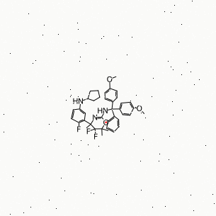 COc1ccc(C(NC2=NC(C)(c3cc(NC4CCCC4)ccc3F)C(F)(F)C(C)(C)O2)(c2ccccc2)c2ccc(OC)cc2)cc1